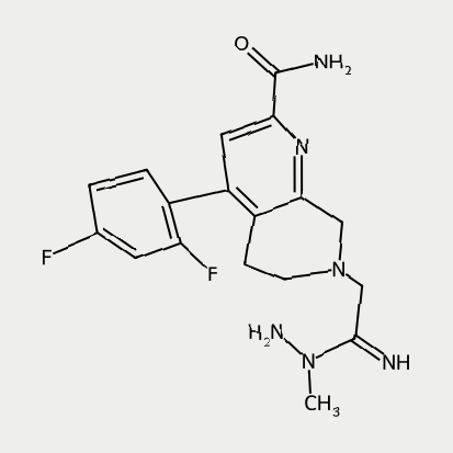 CN(N)C(=N)CN1CCc2c(-c3ccc(F)cc3F)cc(C(N)=O)nc2C1